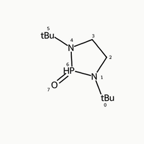 CC(C)(C)N1CCN(C(C)(C)C)[PH]1=O